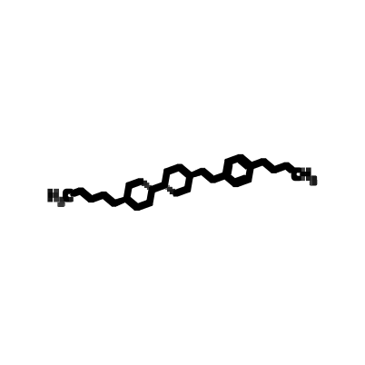 CCCCC[C@H]1CC[C@H]([C@H]2CC[C@H](CCc3ccc(CCCC)cc3)CC2)CC1